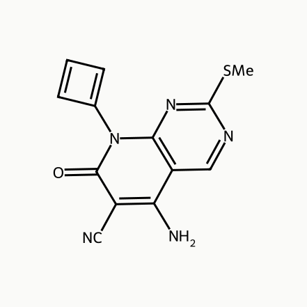 CSc1ncc2c(N)c(C#N)c(=O)n(C3=CC=C3)c2n1